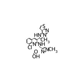 C[C@H](Nc1ncnc2sccc12)c1cc2cccc(Cl)c2nc1NCc1cn(C)cn1.O=CO